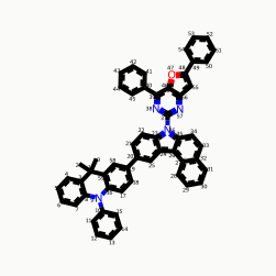 CC1(C)c2ccccc2N(c2ccccc2)c2ccc(-c3ccc4c(c3)c3c5ccccc5ccc3n4-c3nc(-c4ccccc4)c4oc(-c5ccccc5)cc4n3)cc21